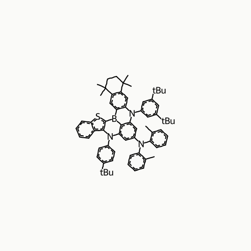 Cc1ccccc1N(c1cc2c3c(c1)N(c1ccc(C(C)(C)C)cc1)c1c(sc4ccccc14)B3c1cc3c(cc1N2c1cc(C(C)(C)C)cc(C(C)(C)C)c1)C(C)(C)CCC3(C)C)c1ccccc1C